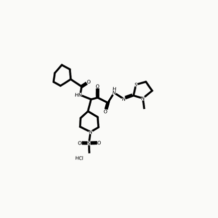 CN1CCSC1=NNC(=O)C(=O)C(NC(=O)C1CCCCC1)C1CCN(S(C)(=O)=O)CC1.Cl